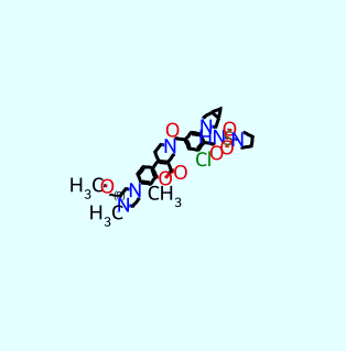 COC[C@H]1CN(c2ccc3c4c(c(=O)oc3c2C)CN(C(=O)c2cc(Cl)c(C(=O)NS(=O)(=O)N3CCCC3)c(N3CC5CC5C3)c2)CC4)CCN1C